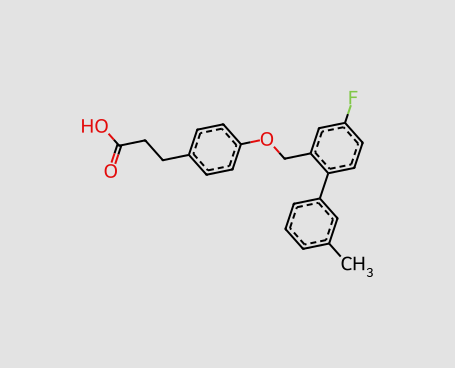 Cc1cccc(-c2ccc(F)cc2COc2ccc(CCC(=O)O)cc2)c1